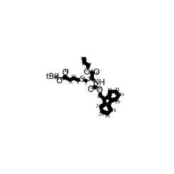 C=CCOC(=O)[C@@H](CSCCCC(=O)OC(C)(C)C)NC(=O)OCC1c2ccccc2-c2ccccc21